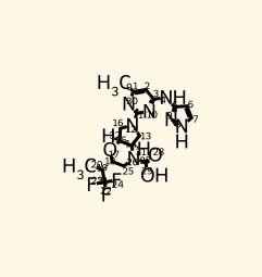 Cc1cc(Nc2cc[nH]n2)nc(N2C[C@@H]3[C@@H](C2)O[C@@H](C(C)C(F)(F)F)CN3C(=O)O)n1